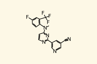 CN(c1ccnc(-c2cncc(C#N)c2)n1)c1ccc(F)cc1C(F)(F)F